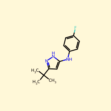 CC(C)(C)c1cc(Nc2ccc(F)cc2)[nH]n1